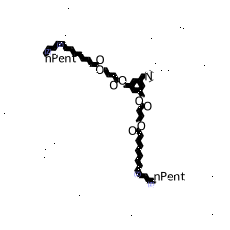 CCCCC/C=C\C/C=C\CCCCCCCC(=O)OCCCC(=O)OCc1cc(COC(=O)CCCOC(=O)CCCCCCC/C=C\C/C=C\CCCCC)cc(CN(C)C)c1